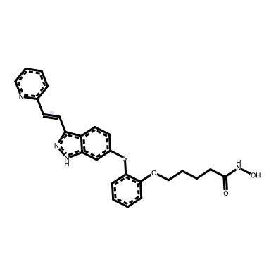 O=C(CCCCOc1ccccc1Sc1ccc2c(/C=C/c3ccccn3)n[nH]c2c1)NO